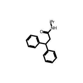 CC(C)NC(=O)CC(c1ccccc1)c1ccccc1